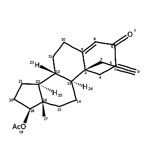 C#CC[C@]12CCC(=O)C=C1CC[C@@H]1[C@@H]2CC[C@]2(C)[C@@H](OC(C)=O)CC[C@@H]12